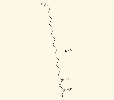 CCCCCCCCCCCCCCCC(=O)OB([O-])[O-].[Nb+2]